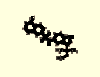 CC(C)(CN)c1c[nH]c2ccc(NS(=O)(=O)c3ccc4c(Cl)cccc4c3)cc12